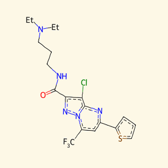 CCN(CC)CCCNC(=O)c1nn2c(C(F)(F)F)cc(-c3cccs3)nc2c1Cl